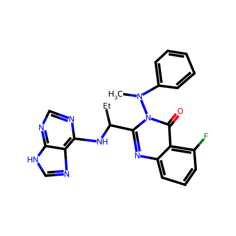 CCC(Nc1ncnc2[nH]cnc12)c1nc2cccc(F)c2c(=O)n1N(C)c1ccccc1